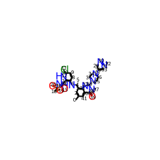 Cc1cc([C@@H](C)Nc2ccc(Cl)nc2C(=O)NS(C)(=O)=O)c2nc(N3CCN(c4cnn(C)c4)CC3)n(C)c(=O)c2c1